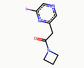 O=C(Cc1cncc(I)n1)N1CCC1